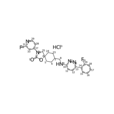 Cl.O=C1OC2(CCC(CNc3ccc(-c4ccccc4F)nn3)CC2)CN1c1ccnc(F)c1